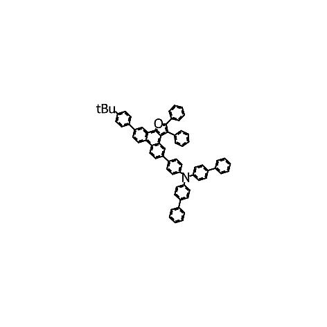 CC(C)(C)c1ccc(-c2ccc3c4ccc(-c5ccc(N(c6ccc(-c7ccccc7)cc6)c6ccc(-c7ccccc7)cc6)cc5)cc4c4c(-c5ccccc5)c(-c5ccccc5)oc4c3c2)cc1